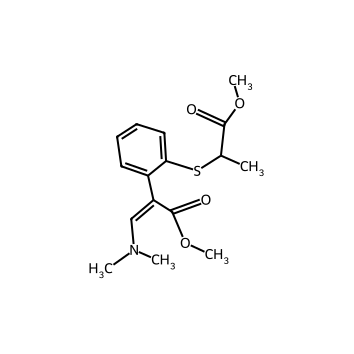 COC(=O)C(=CN(C)C)c1ccccc1SC(C)C(=O)OC